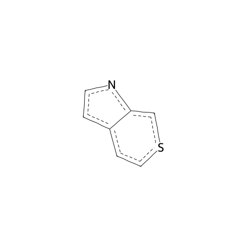 c1cc2ccscc-2n1